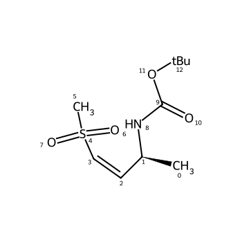 C[C@@H](/C=C\S(C)(=O)=O)NC(=O)OC(C)(C)C